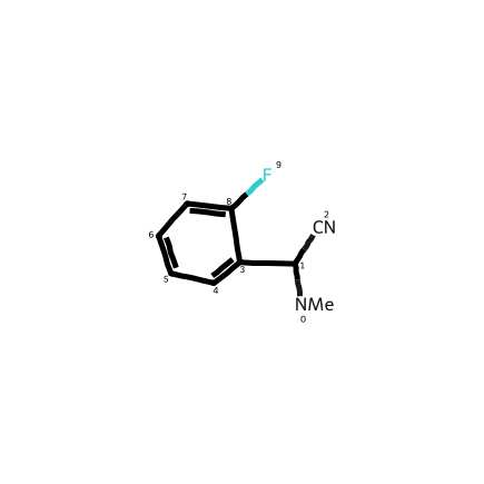 CNC(C#N)c1ccccc1F